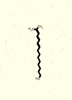 CC(C)=CC=CC=CCCCCCCCCO